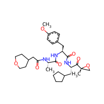 COc1ccc(C[C@H](NC(=O)[C@H](C)NC(=O)CC2CCOCC2)C(=O)N[C@@H](CC2CCCC2)C(=O)[C@@]2(C)CO2)cc1